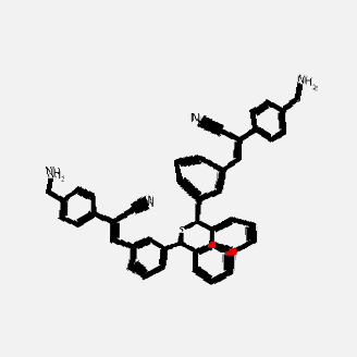 N#CC(=Cc1cccc(C(SC(c2ccccc2)c2cccc(C=C(C#N)c3ccc(CN)cc3)c2)c2ccccc2)c1)c1ccc(CN)cc1